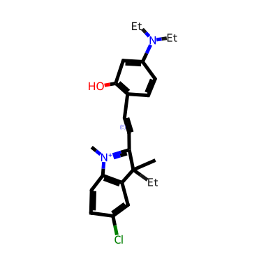 CCN(CC)c1ccc(/C=C/C2=[N+](C)c3ccc(Cl)cc3C2(C)CC)c(O)c1